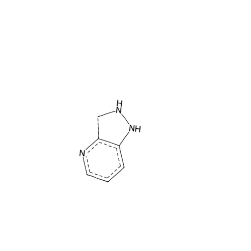 c1cnc2c(c1)NNC2